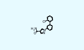 NC(=O)c1cnn(-c2cccc(-c3ccccc3Cl)c2)c1